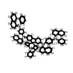 c1ccc(N(c2ccc(N(c3ccc4c(c3)C3(c5cc(N(c6ccc(N(c7ccccc7)c7cccc8ccccc78)cc6)c6cccc7ccccc67)ccc5-4)c4ccccc4-n4c5ccccc5c5cccc3c54)c3cccc4ccccc34)cc2)c2cccc3ccccc23)cc1